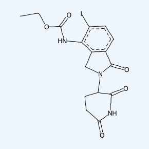 CCOC(=O)Nc1c(I)ccc2c1CN(C1CCC(=O)NC1=O)C2=O